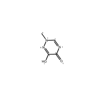 Cn1[c]nc(=O)c(O)n1